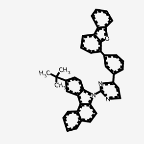 CC(C)(C)c1ccc2c(c1)c1c3ccccc3ccc1n2-c1nccc(-c2cccc(-c3cccc4c3oc3ccccc34)c2)n1